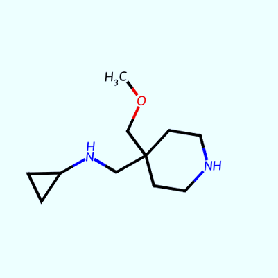 COCC1(CNC2CC2)CCNCC1